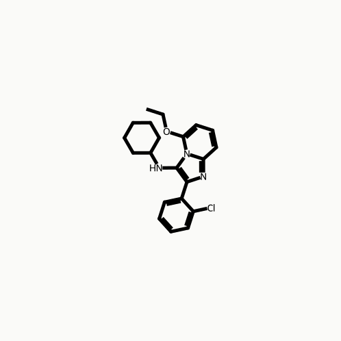 CCOc1cccc2nc(-c3ccccc3Cl)c(NC3CCCCC3)n12